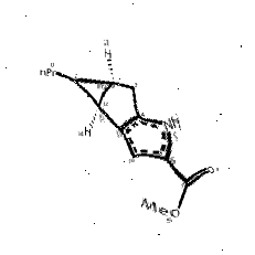 CCCC1[C@H]2Cc3[nH]c(C(=O)OC)cc3[C@@H]12